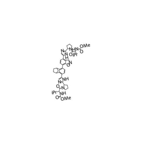 COC(=O)NC(C(=O)N1CCCC1c1ncc(-c2ccc(-c3ccc(-c4cnc(C5CCCN5C(=O)C(NC(=O)OC)C(C)C)[nH]4)c4cnoc34)c3c2C2CCC3C2)[nH]1)C(C)C